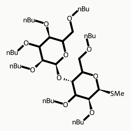 CCCCOCC1O[C@@H](SC)[C@@H](OCCCC)C(OCCCC)[C@@H]1O[C@@H]1OC(COCCCC)[C@H](OCCCC)C(OCCCC)[C@@H]1OCCCC